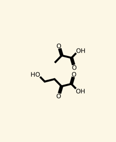 CC(=O)C(=O)O.O=C(O)C(=O)CCO